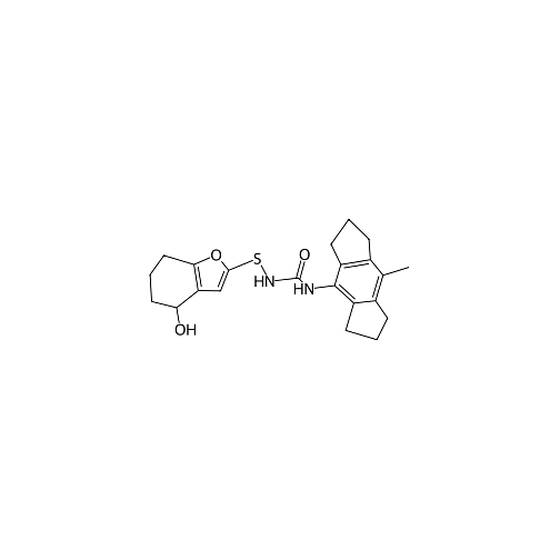 Cc1c2c(c(NC(=O)NSc3cc4c(o3)CCCC4O)c3c1CCC3)CCC2